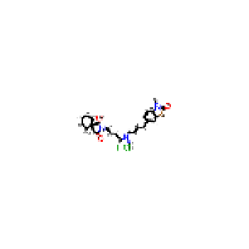 CN(CCCCc1ccc2c(c1)sc(=O)n2C)CCCCN1C(=O)CC2(CCCCC2)C1=O.Cl